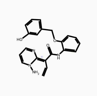 C=C/C(C(=O)Nc1ccccc1OCc1cccc(O)c1)=C1/N=CC=CN1N